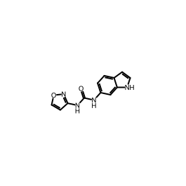 O=C(Nc1ccc2cc[nH]c2c1)Nc1ccon1